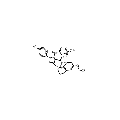 CS(=O)(=O)CC(=O)Nc1c2c(nn1-c1ccc(C#N)cn1)C[C@]1(CCCc3cc(OCC(F)(F)F)ccc31)NC2=O